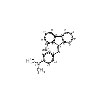 CN(C)c1ccc(C=C2c3ccccc3-c3cccc(Br)c32)cc1